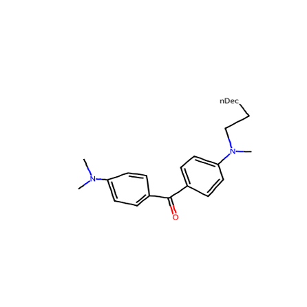 CCCCCCCCCCCCN(C)c1ccc(C(=O)c2ccc(N(C)C)cc2)cc1